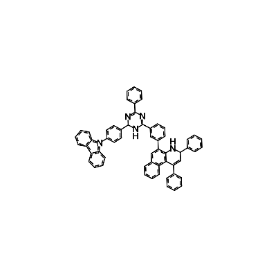 C1=C(c2ccccc2)c2c(c(-c3cccc(C4=NC(c5ccccc5)=NC(c5ccc(-n6c7ccccc7c7ccccc76)cc5)N4)c3)cc3ccccc23)NC1c1ccccc1